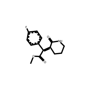 COC(=O)C(=C1CCCNC1=O)c1ccc(F)cc1